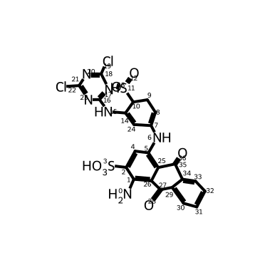 Nc1c(S(=O)(=O)O)cc(NC2=CCC([SH](=O)=O)C(Nc3nc(Cl)nc(Cl)n3)=C2)c2c1C(=O)c1ccccc1C2=O